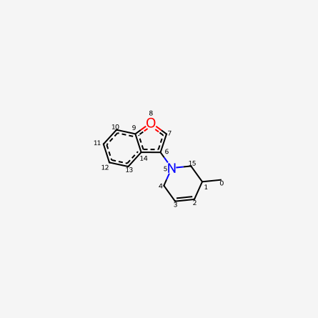 CC1C=CCN(c2coc3ccccc23)C1